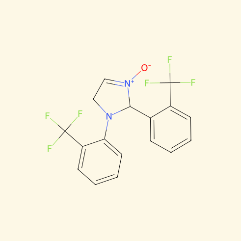 [O-][N+]1=CCN(c2ccccc2C(F)(F)F)C1c1ccccc1C(F)(F)F